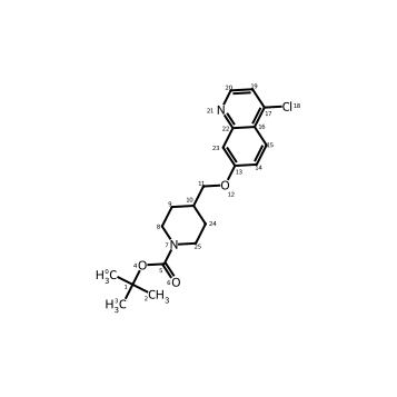 CC(C)(C)OC(=O)N1CCC(COc2ccc3c(Cl)ccnc3c2)CC1